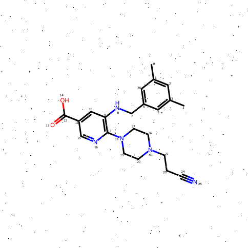 Cc1cc(C)cc(CNc2cc(C(=O)O)cnc2N2CCN(CCC#N)CC2)c1